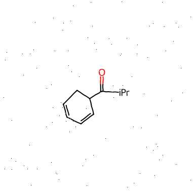 CC(C)C(=O)C1C=CC=CC1